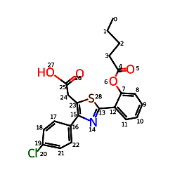 CCCCC(=O)Oc1ccccc1-c1nc(-c2ccc(Cl)cc2)c(CC(=O)O)s1